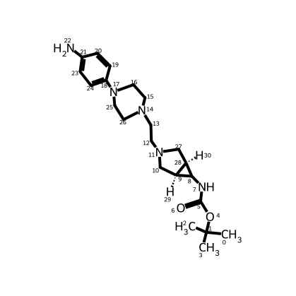 CC(C)(C)OC(=O)NC1[C@H]2CN(CCN3CCN(c4ccc(N)cc4)CC3)C[C@@H]12